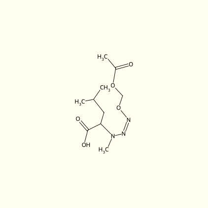 CC(=O)OCO/N=N\N(C)C(CC(C)C)C(=O)O